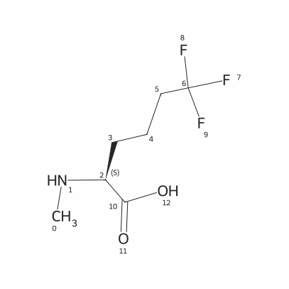 CN[C@@H](CCCC(F)(F)F)C(=O)O